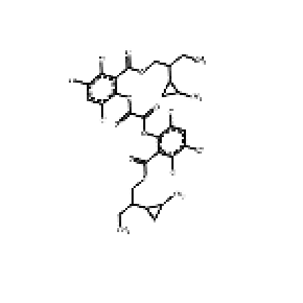 CCC(COC(=O)c1c(Cl)c(Cl)cc(Cl)c1OC(=O)C(=O)Oc1c(Cl)cc(Cl)c(Cl)c1C(=O)OCC(CC)C1C[C@@H]1C)C1CC1C